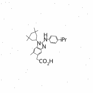 Cc1cc2c(cc1CC(=O)O)nc(Nc1ccc(C(C)C)cc1)n2C1CC(C)(C)CC(C)(C)C1